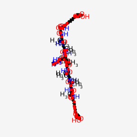 CC(=O)[C@H](CCCCNC(=O)[C@H](CCCCNC(=O)[C@H](CCCCNC(=O)CC[C@H](NC(=O)CCCCCCCCCCCOc1ccc(C(=O)O)cc1)C(C)=O)N(C)C)N(C)C)CC(=O)[C@H](CCCCNC(=O)[C@H](CCCCNC(=O)[C@H](CCCCNC(=O)CC[C@H](NC(=O)CCCCCCCCCCCOc1ccc(C(=O)O)cc1)C(=O)O)N(C)C)N(C)C)CC(=O)C(C)(C)NC(=O)CCc1cnc[nH]1